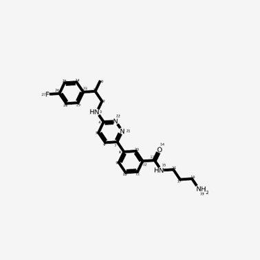 CC(CNc1ccc(-c2cccc(C(=O)NCCCN)c2)nn1)c1ccc(F)cc1